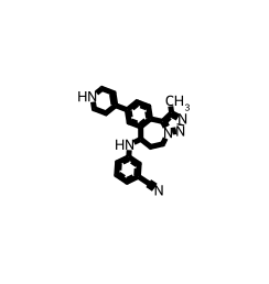 Cc1nnn2c1-c1ccc(C3=CCNCC3)cc1C(Nc1cccc(C#N)c1)CC2